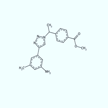 COC(=O)c1ccc(C(C)n2cc(-c3cc(C)cc(N)c3)nn2)cc1